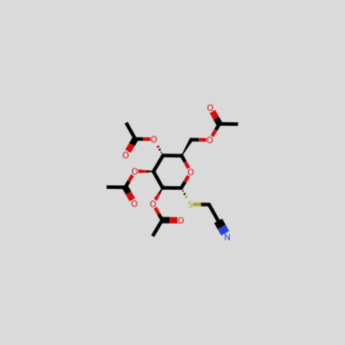 CC(=O)OC[C@H]1O[C@H](SCC#N)[C@@H](OC(C)=O)[C@@H](OC(C)=O)[C@@H]1OC(C)=O